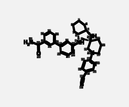 C[C@]1(N[C@@H]2CCCC[C@H]2Nc2cc(-c3cccc(C(N)=O)c3)ccn2)CCCN(c2ccc(C#N)cn2)C1